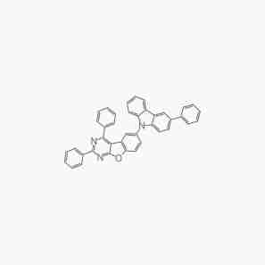 c1ccc(-c2ccc3c(c2)c2ccccc2n3-c2ccc3oc4nc(-c5ccccc5)nc(-c5ccccc5)c4c3c2)cc1